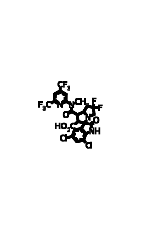 CN(C(=O)C1C2CC(F)(F)CN2C2(C(=O)Nc3c(Cl)cc(Cl)cc32)C1C(=O)O)c1cc(C(F)(F)F)cc(C(F)(F)F)n1